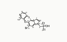 CCC(O)(CC)Cn1ncc2cc(Oc3c(C)ccnc3C)c(Br)cc21